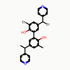 CCc1cc(C(CC)c2ccncc2)cc(-c2cc(C(C)c3ccncc3)cc(C)c2O)c1O